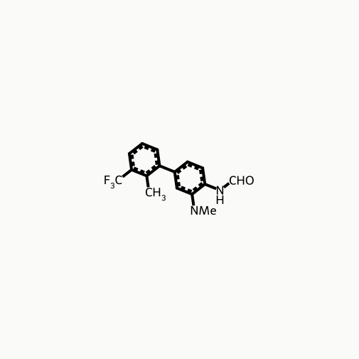 CNc1cc(-c2cccc(C(F)(F)F)c2C)ccc1NC=O